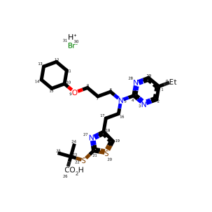 CCc1cnc(N(CCCOC2CCCCC2)CCc2csc(SC(C)(C)C(=O)O)n2)nc1.[Br-].[H+]